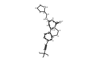 CC(C)(C)C#Cc1ccc2c(c1)CCn1c-2cc(OCC2CCCO2)nc1=O